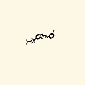 Fc1cccc(NCc2cn3ccc(-c4nnc(C(F)F)o4)cc3n2)c1